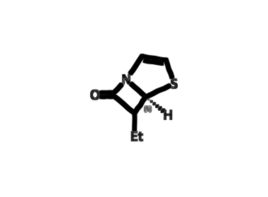 CCC1C(=O)N2C=CS[C@@H]12